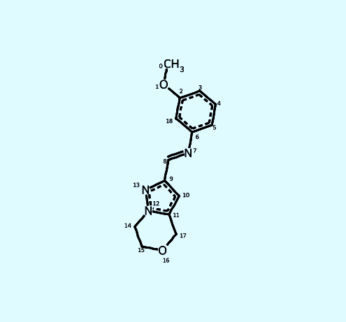 COc1cccc(N=Cc2cc3n(n2)CCOC3)c1